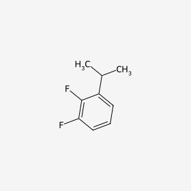 CC(C)c1cccc(F)c1F